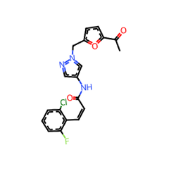 CC(=O)c1ccc(Cn2cc(NC(=O)/C=C\c3c(F)cccc3Cl)cn2)o1